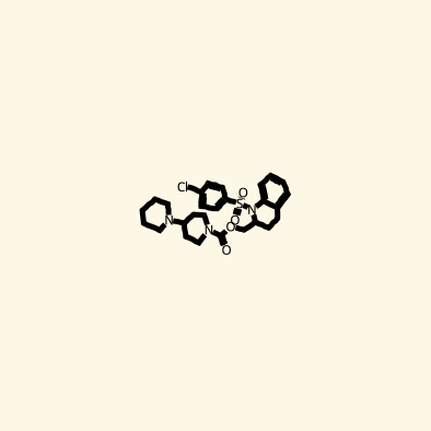 O=C(OCC1CCc2ccccc2N1S(=O)(=O)c1ccc(Cl)cc1)N1CCC(N2CCCCC2)CC1